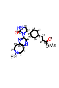 CCN1CCc2ncc(N3C(=O)NCC3[C@H]3CC[C@H](CCC(=O)OC)CC3)nc2CC1